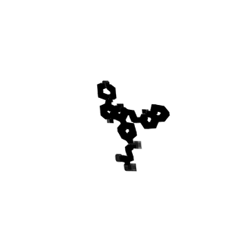 O=C(O)CCNc1ccc(-c2c(C=Cc3ccc4ccccc4n3)nc3c(N4CCOCC4)ccnn23)cc1